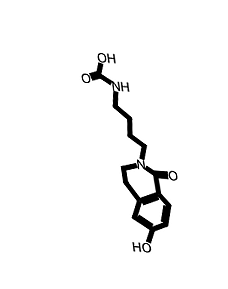 O=C(O)NCCCCN1CCc2cc(O)ccc2C1=O